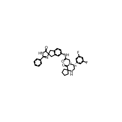 O=C(CN1C(=O)C2(CCCC2)NC[C@H]1c1cc(F)cc(F)c1)Nc1ccc2c(c1)CC1(C2)N=C(c2ccccc2)NC1=O